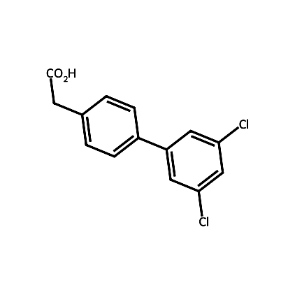 O=C(O)Cc1ccc(-c2cc(Cl)cc(Cl)c2)cc1